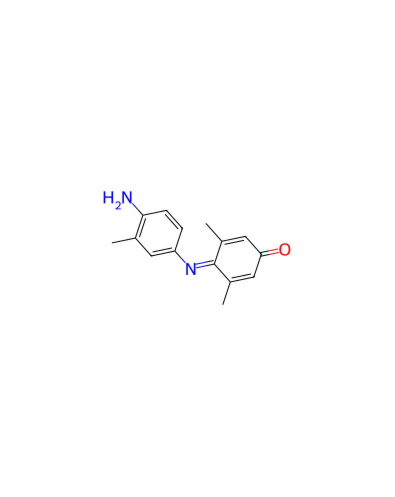 CC1=CC(=O)C=C(C)C1=Nc1ccc(N)c(C)c1